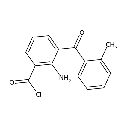 Cc1ccccc1C(=O)c1cccc(C(=O)Cl)c1N